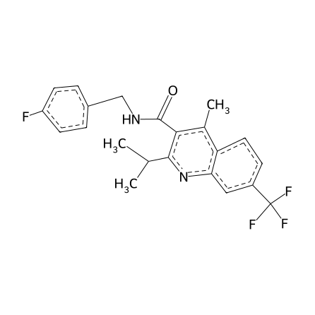 Cc1c(C(=O)NCc2ccc(F)cc2)c(C(C)C)nc2cc(C(F)(F)F)ccc12